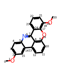 COc1ccc2nc3c4c(cccc4c2c1)Oc1c(OC)cccc1-3